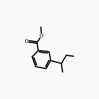 CCC(C)c1cccc(C(=O)OC)c1